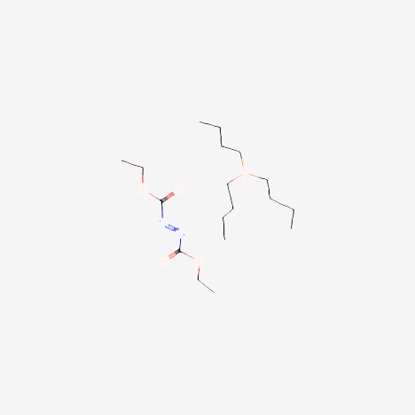 CCCCP(CCCC)CCCC.CCOC(=O)N=NC(=O)OCC